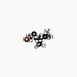 CCOc1cc([C@H](Cc2c(Cl)c[n+]([O-])cc2Cl)c2cc(CN(C(=O)O[C@H]3CN4CCC3CC4)c3ccccc3F)sc2C(=O)O)ccc1OC(F)F